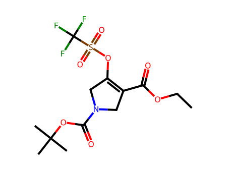 CCOC(=O)C1=C(OS(=O)(=O)C(F)(F)F)CN(C(=O)OC(C)(C)C)C1